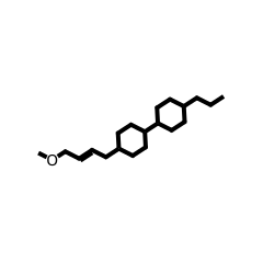 CCCC1CCC(C2CCC(CC=CCOC)CC2)CC1